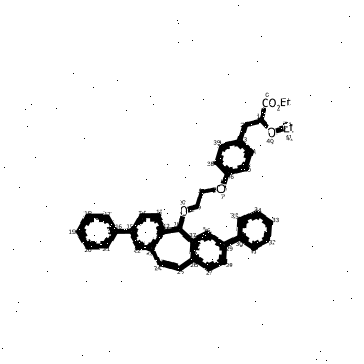 CCOC(=O)C(Cc1ccc(OCCOC2c3ccc(-c4ccccc4)cc3C=Cc3ccc(-c4ccccc4)cc32)cc1)OCC